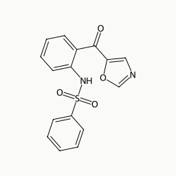 O=C(c1cnco1)c1ccccc1NS(=O)(=O)c1ccccc1